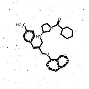 O=C(O)c1ccc(/C=C(\CNC2CCN(C(=O)C3CCCCC3)C2)COc2cccc3ccccc23)cc1